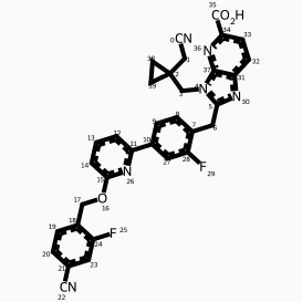 N#CCC1(Cn2c(Cc3ccc(-c4cccc(OCc5ccc(C#N)cc5F)n4)cc3F)nc3ccc(C(=O)O)nc32)CC1